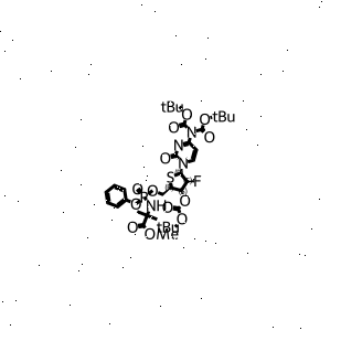 COC(=O)C(C)(C)NP(=O)(OC[C@H]1S[C@@H](n2ccc(N(C(=O)OC(C)(C)C)C(=O)OC(C)(C)C)nc2=O)[C@@H](F)[C@@H]1OC(=O)OC(C)(C)C)Oc1ccccc1